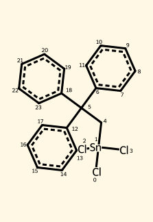 [Cl][Sn]([Cl])([Cl])[CH2]C(c1ccccc1)(c1ccccc1)c1ccccc1